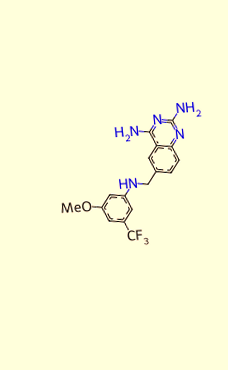 COc1cc(NCc2ccc3nc(N)nc(N)c3c2)cc(C(F)(F)F)c1